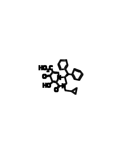 O=C(O)c1cn2c(c(O)c1=O)C(=O)N(CC1CC1)C[C@@H]2C(c1ccccc1)c1ccccc1